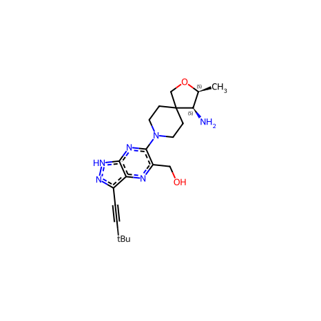 C[C@@H]1OCC2(CCN(c3nc4[nH]nc(C#CC(C)(C)C)c4nc3CO)CC2)[C@@H]1N